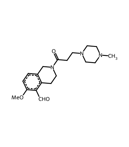 COc1ccc2c(c1C=O)CCN(C(=O)CCN1CCN(C)CC1)C2